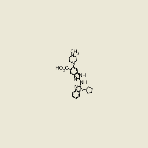 CN1CCN(c2cc3[nH]c(Nc4nc5ccccc5n4C4CCCC4)nc3cc2C(=O)O)CC1